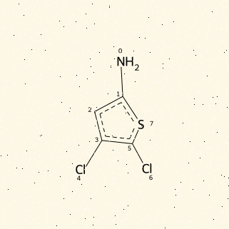 Nc1cc(Cl)c(Cl)s1